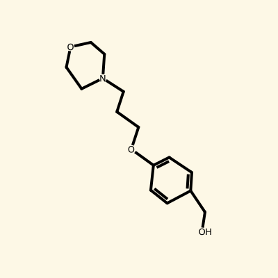 OCc1ccc(OCCCN2CCOCC2)cc1